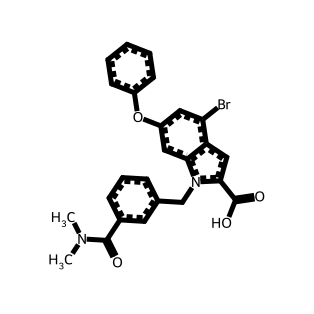 CN(C)C(=O)c1cccc(Cn2c(C(=O)O)cc3c(Br)cc(Oc4ccccc4)cc32)c1